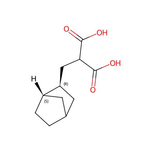 O=C(O)C(C[C@H]1CC2CC[C@H]1C2)C(=O)O